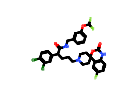 O=C1Nc2ccc(F)cc2C2(CCN(CCCC(C(=O)NCc3cccc(OC(F)F)c3)c3ccc(Cl)c(Cl)c3)CC2)O1